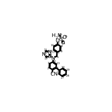 N#Cc1ccc(N(Cc2ccc(OS(N)(=O)=O)cc2)n2cncn2)cc1-c1ccccc1